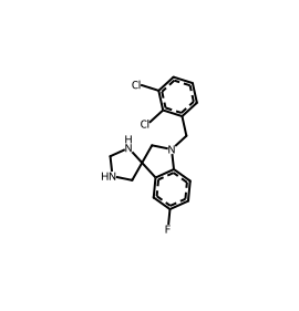 Fc1ccc2c(c1)C1(CNCN1)CN2Cc1cccc(Cl)c1Cl